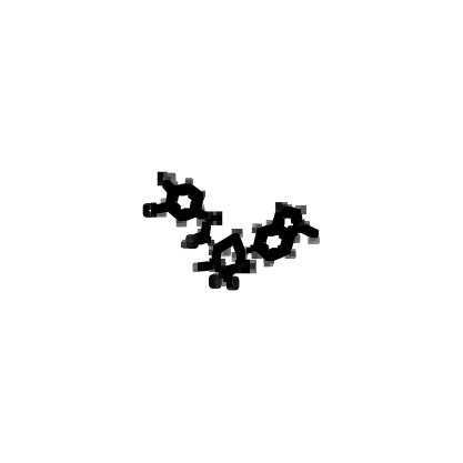 CN1[C@H](C(=O)Nc2ccc(F)c(Cl)c2)C[C@H](c2ccc3c(c2)ncn3C)NS1(=O)=O